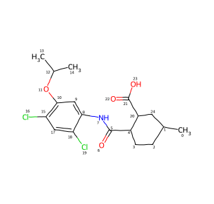 CC1CCC(C(=O)Nc2cc(OC(C)C)c(Cl)cc2Cl)C(C(=O)O)C1